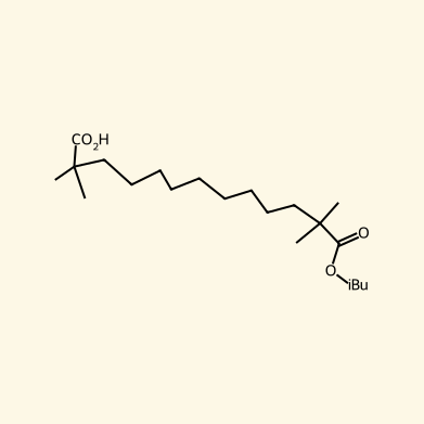 CCC(C)OC(=O)C(C)(C)CCCCCCCCCC(C)(C)C(=O)O